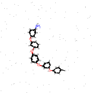 Cc1ccc(Oc2cccc(Oc3ccc(Oc4cccc(Oc5ccc(N)cc5)c4)cc3)c2)cc1